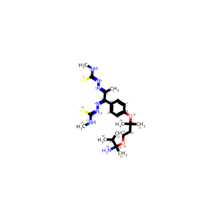 CN/C(S)=N/N=C(C)/C(=N/N=C(\S)NC)c1ccc(OC(C)(C)CCOC(C)(N)C(C)C)cc1